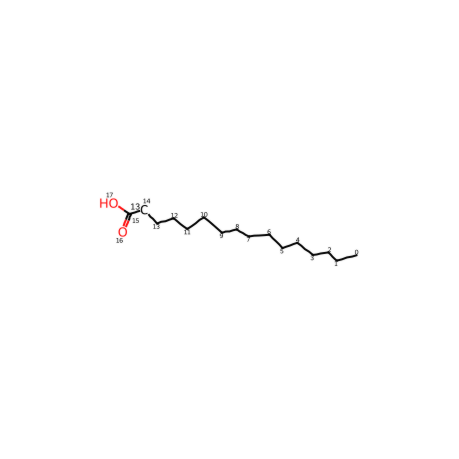 CCCCCCCCCCCCCC[13CH2]C(=O)O